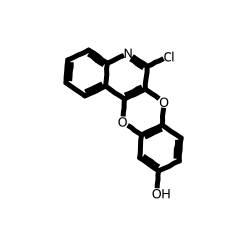 Oc1ccc2c(c1)Oc1c(c(Cl)nc3ccccc13)O2